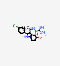 C/C(=N/NC(=N)N)c1c(-c2ccc(Cl)cc2)[nH]c2ccc(Br)cc12